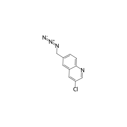 [N-]=[N+]=NCc1ccc2ncc(Cl)cc2c1